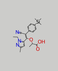 CCn1nc(C)cc1C(OC(C)C(=O)O)=C(C#N)c1ccc([Si](C)(C)C)cc1